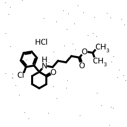 CC(C)OC(=O)CCCCNC1(c2ccccc2Cl)CCCCC1=O.Cl